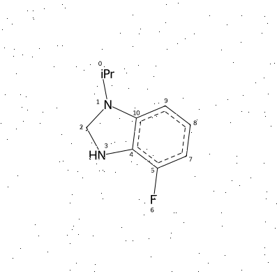 CC(C)N1[CH]Nc2c(F)cccc21